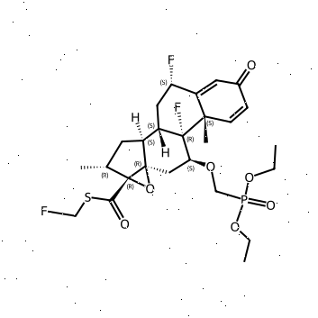 CCOP(=O)(CO[C@H]1C[C@]23O[C@]2(C(=O)SCF)[C@H](C)C[C@H]3[C@@H]2C[C@H](F)C3=CC(=O)C=C[C@]3(C)[C@@]12F)OCC